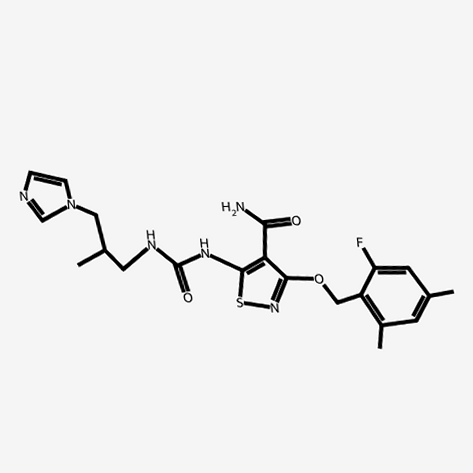 Cc1cc(C)c(COc2nsc(NC(=O)NCC(C)Cn3ccnc3)c2C(N)=O)c(F)c1